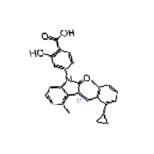 Cc1cccc(C2CC2)c1/C=C1\C(=O)N(c2ccc(C(=O)O)c(O)c2)c2cccc(C)c21